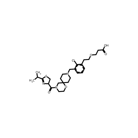 CC(C)C1=NC(C(=O)N2CCOC3(CCN(Cc4cccc(CCOCCC(=O)O)c4Cl)CC3)C2)CS1